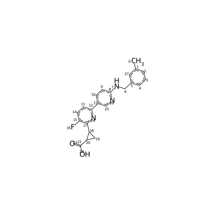 Cc1cccc(CNc2ccc(-c3ccc(F)c(C4CC4C(=O)O)n3)cn2)c1